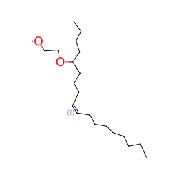 CCCCCCCC/C=C\CCCC(CCCC)OCC[O]